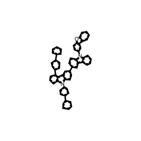 c1ccc(-c2ccc(-c3cccc4c3c3cc(-c5ccc6c(c5)c5ccccc5n6-c5ccc6oc7ccccc7c6c5)ccc3n4-c3ccc(-c4ccccc4)cc3)cc2)cc1